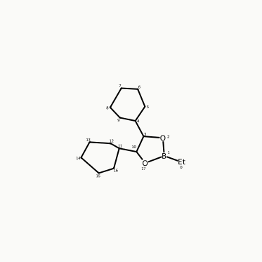 CCB1OC(C2CCCCC2)C(C2CCCCC2)O1